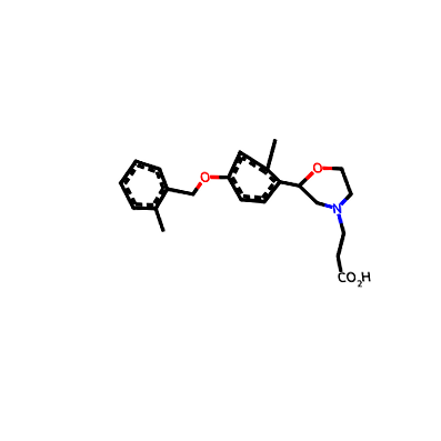 Cc1ccccc1COc1ccc(C2CN(CCC(=O)O)CCO2)c(C)c1